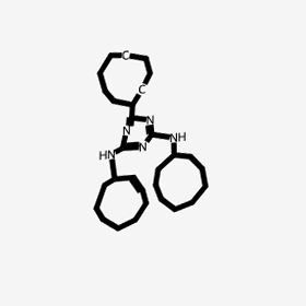 C1=C\C(Nc2nc(NC3CCCCCCCC3)nc(C3CCCCCCCC3)n2)CCCCCC/1